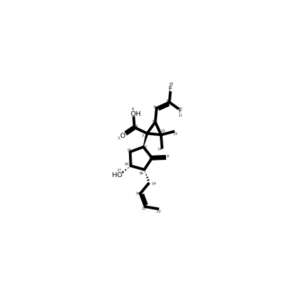 C=C1[C@H](C2(C(=O)O)C(C=C(F)F)C2(C)C)C[C@@H](O)[C@H]1C/C=C\C